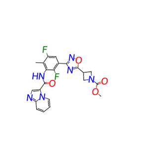 COC(=O)N1CC(c2nc(-c3cc(F)c(C)c(NC(=O)c4cnc5ccccn45)c3F)no2)C1